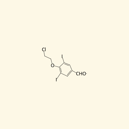 O=[C]c1cc(I)c(OCCCl)c(I)c1